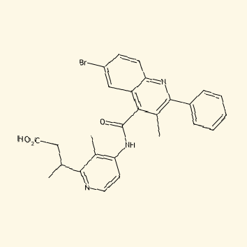 Cc1c(NC(=O)c2c(C)c(-c3ccccc3)nc3ccc(Br)cc23)ccnc1C(C)CC(=O)O